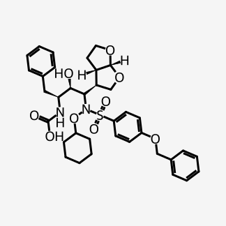 O=C(O)N[C@@H](Cc1ccccc1)[C@@H](O)C([C@@H]1CO[C@H]2OCC[C@H]21)N(OC1CCCCC1)S(=O)(=O)c1ccc(OCc2ccccc2)cc1